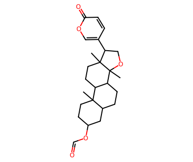 CC12CCC(OC=O)CC1CCC1C2CCC2(C)C(c3ccc(=O)oc3)COC12C